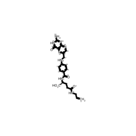 C=CCNC(=O)CC[C@H](NC(=O)c1ccc(NCc2cnc3nc(N)[nH]c(=O)c3n2)cc1)C(=O)O